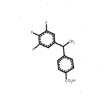 CC(c1ccc(C(=O)O)cc1)c1cc(F)c(F)c(F)c1